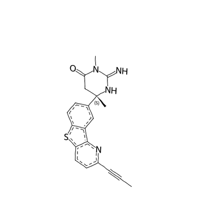 CC#Cc1ccc2sc3ccc([C@]4(C)CC(=O)N(C)C(=N)N4)cc3c2n1